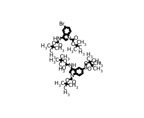 CC(C)(C)OC(=O)Nc1cn(C(=O)OC(C)(C)C)c2ccc(B3OC(C)(C)C(C)(C)O3)cc12.CC(C)(C)OC(=O)Nc1cn(C(=O)OC(C)(C)C)c2ccc(Br)cc12